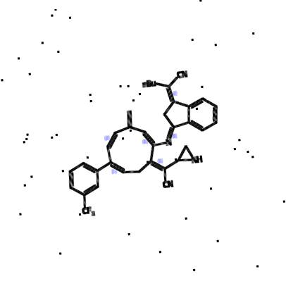 C=C1/C=C\C(c2cccc(C(F)(F)F)c2)=C/CC(=C(\C#N)C2CN2)/C(/N=C2\C/C(=C(/C#N)CCCC)c3ccccc32)=C\1